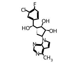 Cc1ncnc2c1ccn2[C@@H]1C[C@H]([C@@H](O)c2ccc(F)c(Cl)c2)[C@@H](O)[C@H]1O